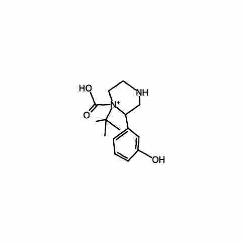 CC(C)(C)[N+]1(C(=O)O)CCNCC1c1cccc(O)c1